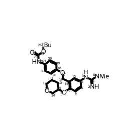 CNC(=N)Nc1ccc(OC2CCCOC2)c(COc2ccc(NC(=O)OC(C)(C)C)cc2)c1